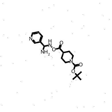 CC(C)(C)OC(=O)N1CCC(C(=O)ONC(N)c2cccnc2)CC1